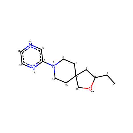 CCC1CC2(CCN(c3cnccn3)CC2)CO1